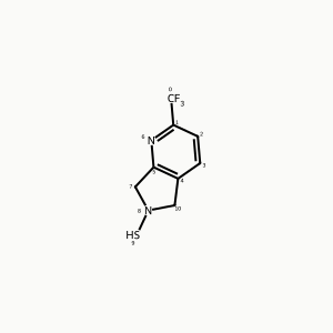 FC(F)(F)c1ccc2c(n1)CN(S)C2